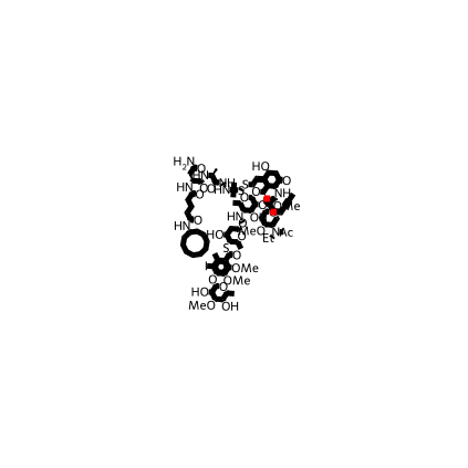 CC#C/C=C\C#C[C@H](OC1OC(C)C(NOC2CC(O)C(SC(=O)c3c(C)c(I)c(OC4OC(C)C(O)C(OC)C4O)c(OC)c3OC)C(C)O2)C(O)C1OC1CC(OC)C(N(CC)C(C)=O)CO1)C1/C(=C\CSSC(C)(C)NNC(=O)[C@H](C)NC(=O)[C@H](CC(N)=O)NC(=O)CCCC(=O)NC2CCCCCCCCC2)[C@@H](O)CC(=O)C1NC(=O)OC